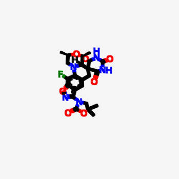 C[C@@H]1CN2c3c(cc4c(N5CC(C)(C)OC5=O)noc4c3F)CC3(C(=O)NC(=O)NC3=O)[C@H]2[C@H](C)O1